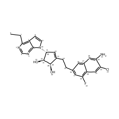 CCc1ncnc2c1ccn2[C@@H]1C=C(CCc2cc(F)c3cc(Cl)c(N)nc3c2)[C@@H](O)[C@H]1O